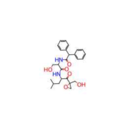 CC(C)CC(NC(=O)C(CO)NC(=O)C(c1ccccc1)c1ccccc1)C(=O)C1(CO)CO1